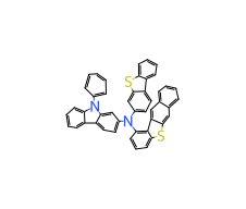 c1ccc(-n2c3ccccc3c3ccc(N(c4ccc5c(c4)sc4ccccc45)c4cccc5sc6cc7ccccc7cc6c45)cc32)cc1